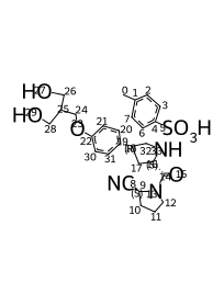 Cc1ccc(S(=O)(=O)O)cc1.N#C[C@@H]1CCCN1C(=O)[C@@H]1C[C@H](c2ccc(OCC(CO)CO)cc2)CN1